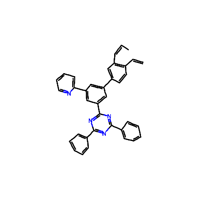 C=Cc1ccc(-c2cc(-c3ccccn3)cc(-c3nc(-c4ccccc4)nc(-c4ccccc4)n3)c2)cc1/C=C\C